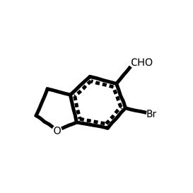 O=Cc1cc2c(cc1Br)OCC2